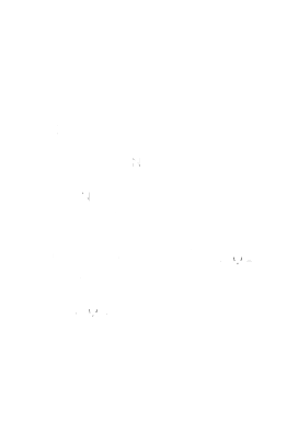 COC(=O)Oc1nc(C)[nH]c1OC(=O)OC